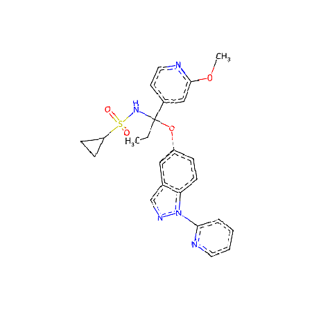 CCC(NS(=O)(=O)C1CC1)(Oc1ccc2c(cnn2-c2ccccn2)c1)c1ccnc(OC)c1